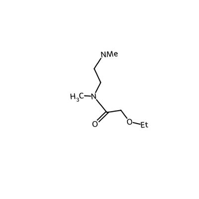 CCOCC(=O)N(C)CCNC